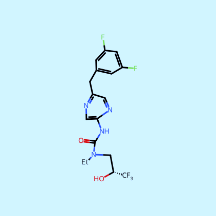 CCN(C[C@@H](O)C(F)(F)F)C(=O)Nc1cnc(Cc2cc(F)cc(F)c2)cn1